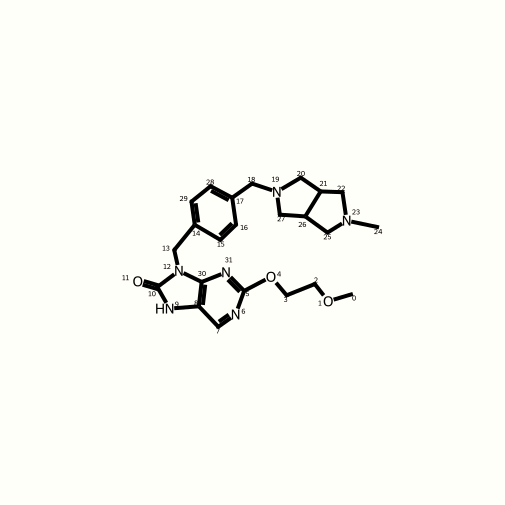 COCCOc1ncc2[nH]c(=O)n(Cc3ccc(CN4CC5CN(C)CC5C4)cc3)c2n1